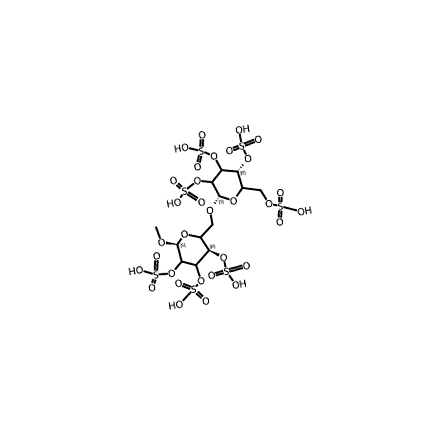 CO[C@H]1OC(CO[C@H]2OC(COS(=O)(=O)O)[C@@H](OS(=O)(=O)O)C(OS(=O)(=O)O)C2OS(=O)(=O)O)[C@@H](OS(=O)(=O)O)C(OS(=O)(=O)O)C1OS(=O)(=O)O